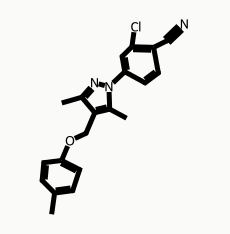 Cc1ccc(OCc2c(C)nn(-c3ccc(C#N)c(Cl)c3)c2C)cc1